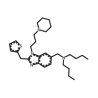 CCCCN(CCCC)Cc1ccc2nc(Cc3cccs3)n(CCCN3CCCCC3)c2c1